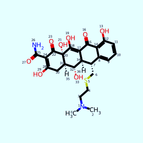 CN(C)CCSC[C@H]1c2cccc(O)c2C(=O)C2=C(O)[C@]3(O)C(=O)C(C(N)=O)=C(O)C[C@@H]3[C@@H](O)[C@@H]21